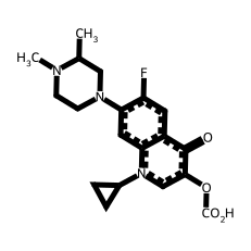 CC1CN(c2cc3c(cc2F)c(=O)c(OC(=O)O)cn3C2CC2)CCN1C